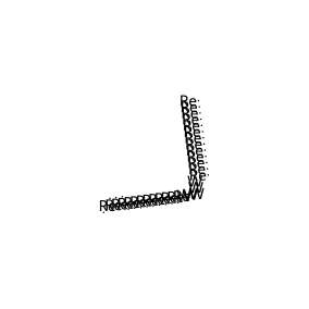 [Re].[Re].[Re].[Re].[Re].[Re].[Re].[Re].[Re].[Re].[Re].[Re].[Re].[Re].[Re].[Re].[Re].[Re].[Re].[Re].[Re].[Re].[Re].[Re].[Re].[Re].[W].[W].[W].[W].[W]